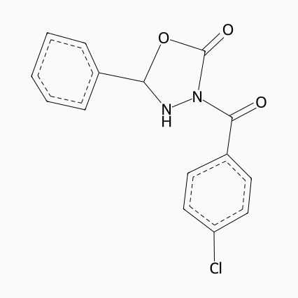 O=C1OC(c2ccccc2)NN1C(=O)c1ccc(Cl)cc1